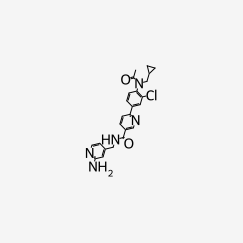 CC(=O)N(CC1CC1)c1ccc(-c2ccc(C(=O)NCc3ccnc(N)c3)cn2)cc1Cl